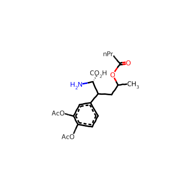 CCCC(=O)OC(C)CC(c1ccc(OC(C)=O)c(OC(C)=O)c1)[C@H](N)C(=O)O